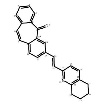 O=c1c2ccccc2ccc2ccc(C=Cc3ccc4c(n3)CCCC4)cc12